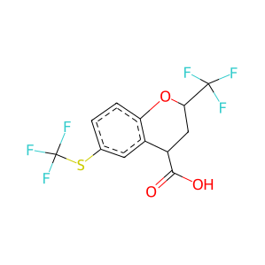 O=C(O)C1CC(C(F)(F)F)Oc2ccc(SC(F)(F)F)cc21